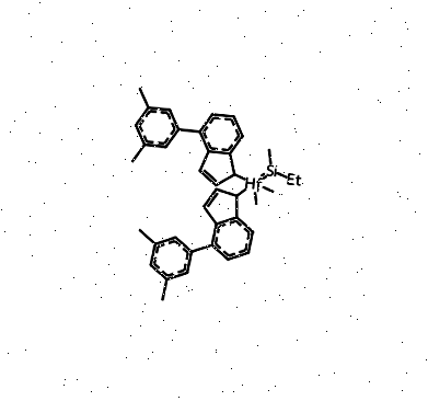 CC[Si](C)=[Hf]([CH3])([CH3])([CH]1C=Cc2c(-c3cc(C)cc(C)c3)cccc21)[CH]1C=Cc2c(-c3cc(C)cc(C)c3)cccc21